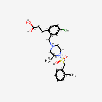 Cc1ccccc1CS(=O)(=O)N1CCN(Cc2cc(Cl)ccc2CCC(=O)O)C[C@@H]1C